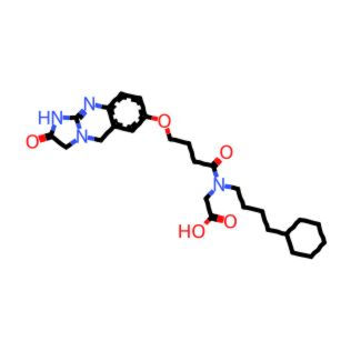 O=C(O)CN(CCCCC1CCCCC1)C(=O)CCCOc1ccc2c(c1)CN1CC(=O)NC1=N2